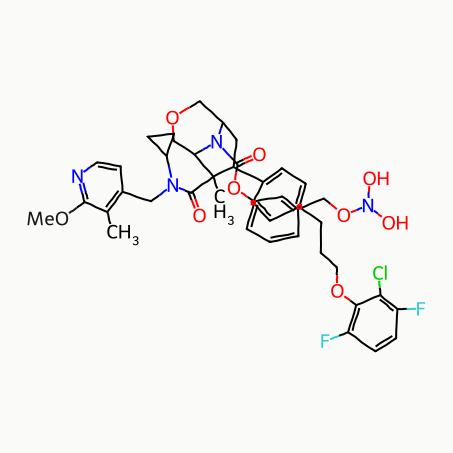 COc1nccc(CN(C(=O)C2(C)C(c3ccc(CCCOc4c(F)ccc(F)c4Cl)cc3)CC3COCC2N3C(=O)Oc2cccc(CON(O)O)c2)C2CC2)c1C